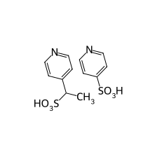 CC(c1ccncc1)S(=O)(=O)O.O=S(=O)(O)c1ccncc1